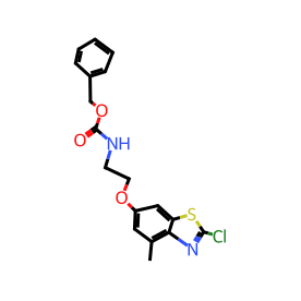 Cc1cc(OCCNC(=O)OCc2ccccc2)cc2sc(Cl)nc12